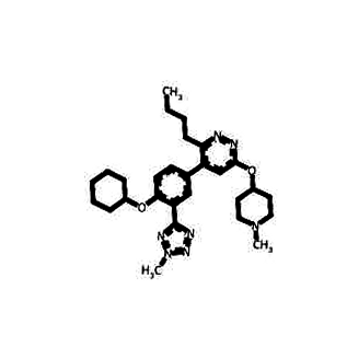 CCCCc1nnc(OC2CCN(C)CC2)cc1-c1ccc(OC2CCCCC2)c(-c2nnn(C)n2)c1